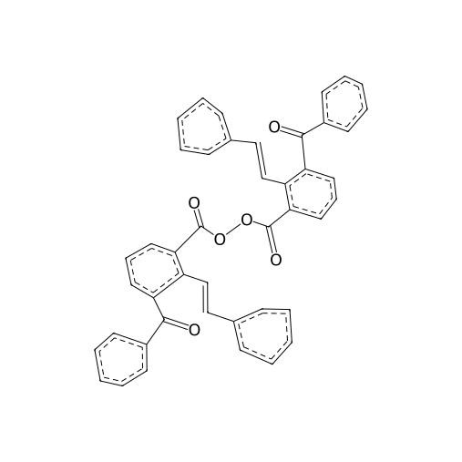 O=C(OOC(=O)c1cccc(C(=O)c2ccccc2)c1C=Cc1ccccc1)c1cccc(C(=O)c2ccccc2)c1C=Cc1ccccc1